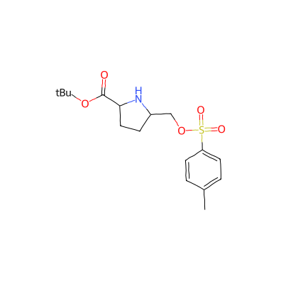 Cc1ccc(S(=O)(=O)OCC2CCC(C(=O)OC(C)(C)C)N2)cc1